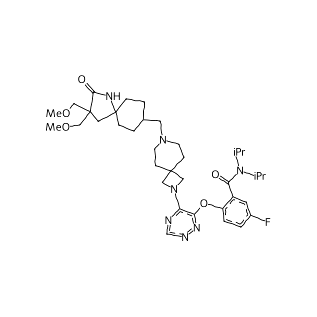 COCC1(COC)CC2(CCC(CN3CCC4(CC3)CN(c3ncnnc3Oc3ccc(F)cc3C(=O)N(C(C)C)C(C)C)C4)CC2)NC1=O